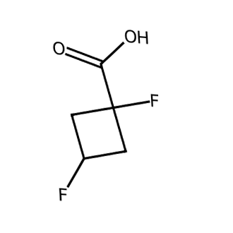 O=C(O)C1(F)CC(F)C1